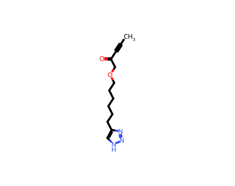 CC#CC(=O)COCCCCCCc1c[nH]nn1